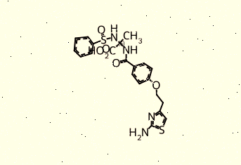 C[C@](NC(=O)c1ccc(OCCc2csc(N)n2)cc1)(NS(=O)(=O)c1ccccc1)C(=O)O